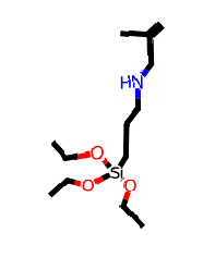 C=C(C)CNCCC[Si](OCC)(OCC)OCC